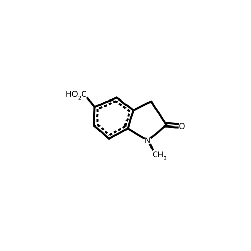 CN1C(=O)Cc2cc(C(=O)O)ccc21